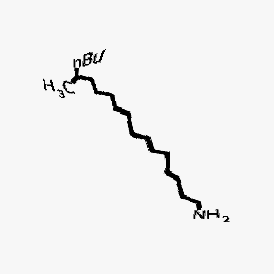 CCCCC(C)CCCCCCCCCCCCCN